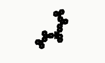 c1ccc2c(c1)ccc1c(-c3ccc4cc(-n5c6ccccc6c6cc(-n7c8ccccc8c8ccccc87)ccc65)ccc4c3)nc(-c3ccc(-n4c5ccccc5c5cc(-n6c7ccccc7c7ccccc76)ccc54)cc3)nc12